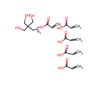 C=CC(=O)O.C=CC(=O)O.C=CC(=O)O.C=CC(=O)O.C=CC(=O)O.CCC(CO)(CO)CO